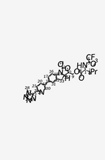 CC(C)[C@H](NC(=O)C(F)(F)F)C(=O)OC[C@@H]1OC(=O)N2c3ccc(-c4ccc(-c5nnnn5C)nc4)cc3C[C@@H]12